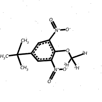 [2H]C([2H])([2H])Oc1c([N+](=O)[O-])cc(C(C)(C)C)cc1[N+](=O)[O-]